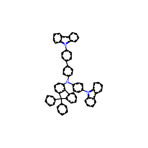 c1ccc(C2(c3ccccc3)c3ccccc3-c3c(N(c4ccc(-c5ccc(-n6c7ccccc7c7ccccc76)cc5)cc4)c4ccc(-n5c6ccccc6c6ccccc65)cc4)cccc32)cc1